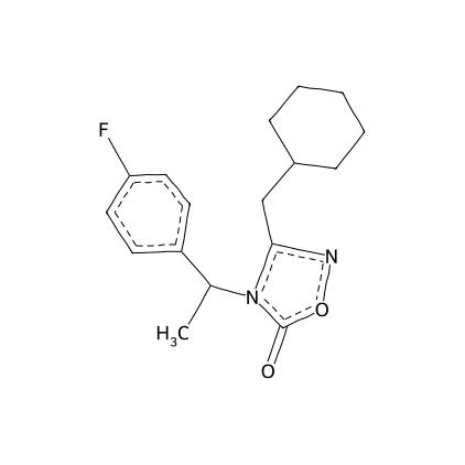 CC(c1ccc(F)cc1)n1c(CC2CCCCC2)noc1=O